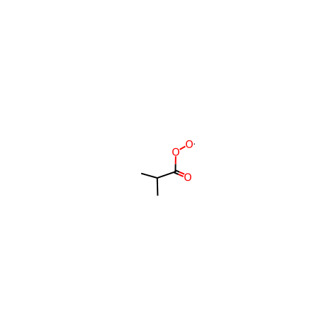 CC(C)C(=O)O[O]